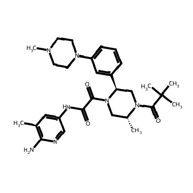 Cc1cc(NC(=O)C(=O)N2C[C@@H](C)N(C(=O)C(C)(C)C)C[C@@H]2c2cccc(N3CCN(C)CC3)c2)cnc1N